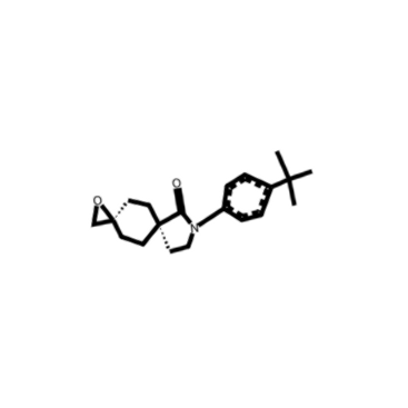 CC(C)(C)c1ccc(N2CC[C@]3(CC[C@]4(CC3)CO4)C2=O)cc1